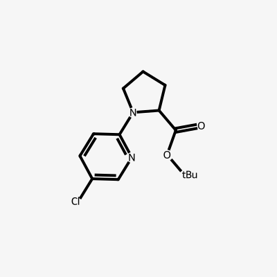 CC(C)(C)OC(=O)C1CCCN1c1ccc(Cl)cn1